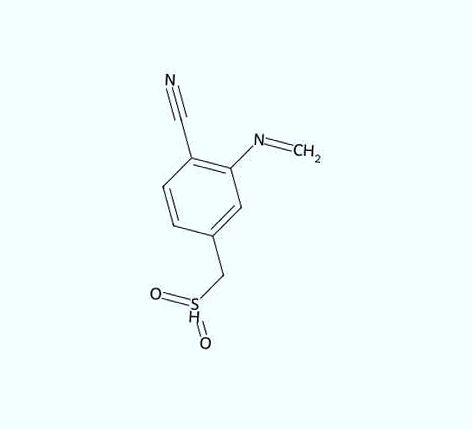 C=Nc1cc(C[SH](=O)=O)ccc1C#N